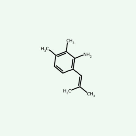 CC(C)=Cc1ccc(C)c(C)c1N